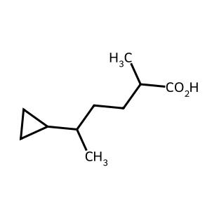 CC(CCC(C)C1CC1)C(=O)O